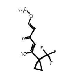 COC=CC(=O)C=C(O)C1(C(F)(F)F)CC1